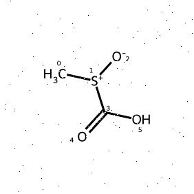 C[S+]([O-])C(=O)O